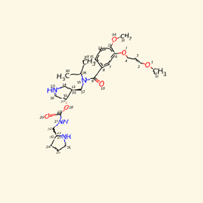 COCCCOc1cc(C(=O)N(C[C@@H]2CNC[C@H]2OC(=O)NC[C@@H]2CCCN2)C(C)C)ccc1OC